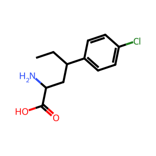 CCC(CC(N)C(=O)O)c1ccc(Cl)cc1